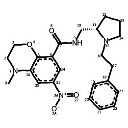 CN1CCOc2c(C(=O)NC[C@@H]3CCCN3CCc3ccccc3)cc([N+](=O)[O-])cc21